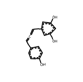 Oc1ccc(C=C=Cc2cc(O)cc(O)c2)cc1